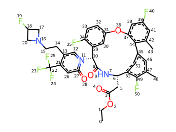 CCOC(=O)C[C@@H]1NC(=O)[C@H](n2cc(CCN3CC(F)C3)c(C(F)(F)F)cc2=O)c2cc(ccc2F)Oc2cc(F)cc(C)c2-c2cc(C)c(F)c1c2